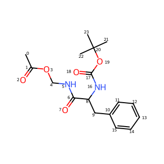 CC(=O)OCNC(=O)C(Cc1ccccc1)NC(=O)OC(C)(C)C